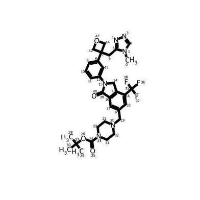 Cn1cnnc1CC1(c2cccc(N3Cc4c(cc(CN5CCN(C(=O)OC(C)(C)C)CC5)cc4C(F)(F)F)C3=O)c2)COC1